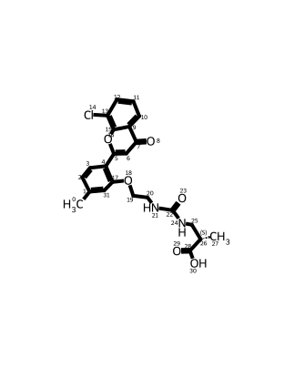 Cc1ccc(-c2cc(=O)c3cccc(Cl)c3o2)c(OCCNC(=O)NC[C@H](C)C(=O)O)c1